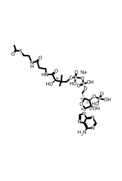 CC(=O)SCCNC(=O)CCNC(=O)[C@H](O)C(C)(C)COP(=O)(O)OP(=O)(O)OC[C@H]1O[C@@H](n2cnc3c(N)ncnc32)[C@H](O)[C@@H]1OP(=O)(O)O.[Na]